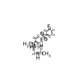 CC1C[C@@H]2c3cc(S(=O)(=O)c4cccc(F)c4)ccc3N(C)[C@H]2CCN1